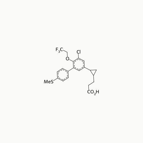 CSc1ccc(-c2cc(C3CC3CCC(=O)O)cc(Cl)c2OCC(F)(F)F)cc1